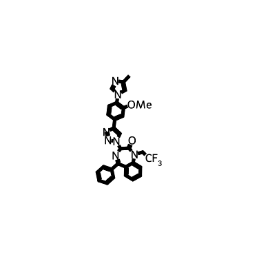 COc1cc(-c2cn(C3N=C(c4ccccc4)c4ccccc4N(CC(F)(F)F)C3=O)nn2)ccc1-n1cnc(C)c1